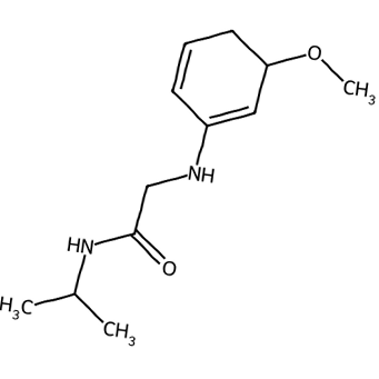 COC1C=C(NCC(=O)NC(C)C)C=CC1